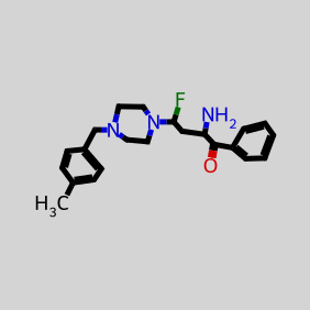 Cc1ccc(CN2CCN(C(F)CC(N)C(=O)c3ccccc3)CC2)cc1